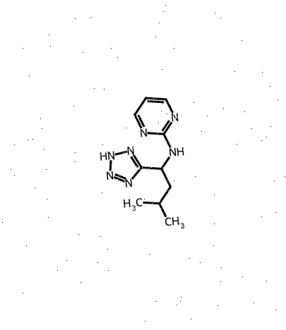 CC(C)CC(Nc1ncccn1)c1nn[nH]n1